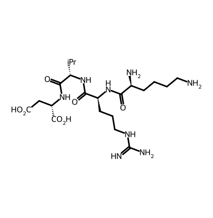 CC(C)[C@H](NC(=O)[C@H](CCCNC(=N)N)NC(=O)[C@@H](N)CCCCN)C(=O)N[C@@H](CC(=O)O)C(=O)O